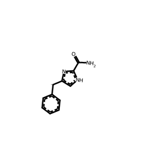 NC(=O)c1nc([CH]c2ccccc2)c[nH]1